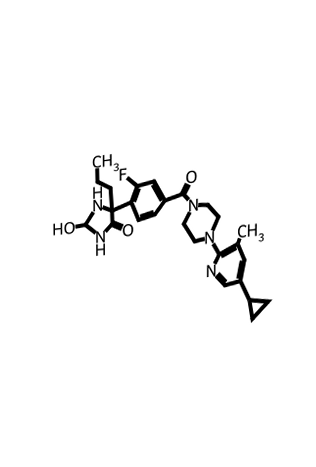 CCCC1(c2ccc(C(=O)N3CCN(c4ncc(C5CC5)cc4C)CC3)cc2F)NC(O)NC1=O